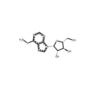 NSc1ncnc2c1ncn2[C@@H]1O[C@H](CO)[C@@H](O)[C@@H]1O